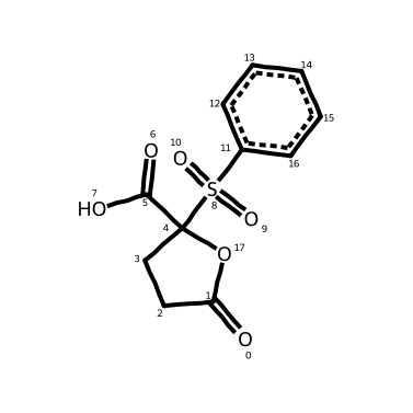 O=C1CCC(C(=O)O)(S(=O)(=O)c2ccccc2)O1